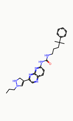 CCCN1C=C(c2cnc3ccc(NC(=O)NCCCC(C)(C)c4ccccc4)nc3n2)CN1